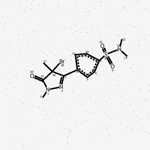 CN1N=C(c2ccc(S(=O)(=O)N(C)C)cc2)C(C)(Br)C1=O